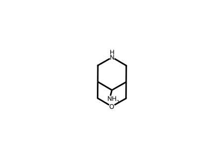 NC1C2CNCC1COC2